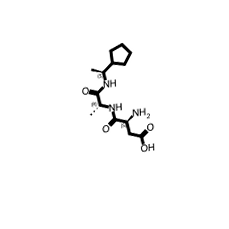 C[C@H](NC(=O)[C@@H](C)NC(=O)[C@@H](N)CC(=O)O)C1CCCC1